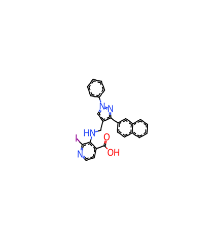 O=C(O)c1ccnc(I)c1NCc1cn(-c2ccccc2)nc1-c1ccc2ccccc2c1